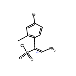 Cc1cc(Br)ccc1/C(=C\N)S(=O)(=O)Cl